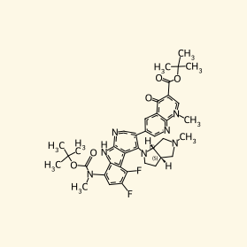 CN1C[C@@H]2CCN(c3c(-c4cnc5c(c4)c(=O)c(C(=O)OC(C)(C)C)cn5C)cnc4[nH]c5c(N(C)C(=O)OC(C)(C)C)cc(F)c(F)c5c34)[C@@H]2C1